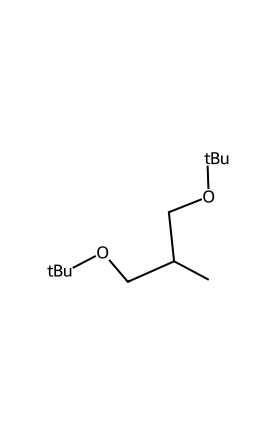 CC(COC(C)(C)C)COC(C)(C)C